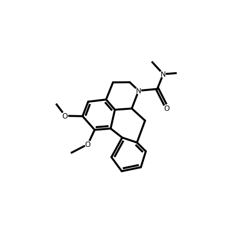 COc1cc2c3c(c1OC)-c1ccccc1CC3N(C(=O)N(C)C)CC2